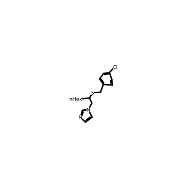 CCCCCCC(Cn1ccnc1)SCc1ccc(Cl)cc1